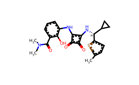 Cc1ccc([C@H](Nc2c(Nc3cccc(C(=O)N(C)C)c3O)c(=O)c2=O)C2CC2)s1